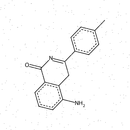 Cc1ccc(C2=NC(=O)c3cccc(N)c3C2)cc1